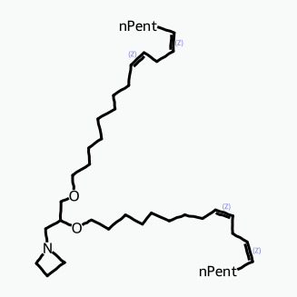 CCCCC/C=C\C/C=C\CCCCCCCCOCC(CN1CCC1)OCCCCCCCC/C=C\C/C=C\CCCCC